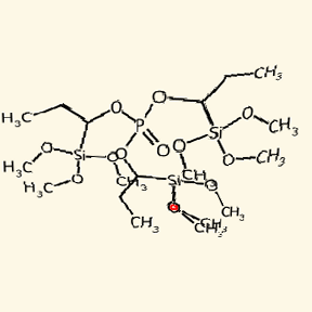 CCC(OP(=O)(OC(CC)[Si](OC)(OC)OC)OC(CC)[Si](OC)(OC)OC)[Si](OC)(OC)OC